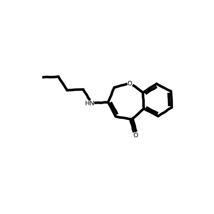 CCCCNC1=CC(=O)c2ccccc2OC1